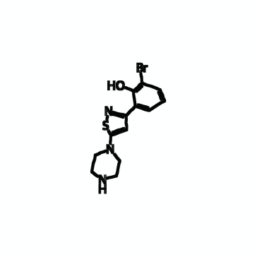 Oc1c(Br)cccc1-c1cc(N2CCNCC2)sn1